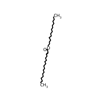 CCCCCCCCCCCCCCC/C=C/C(=O)OCCCCCCCCCCCCCCCC